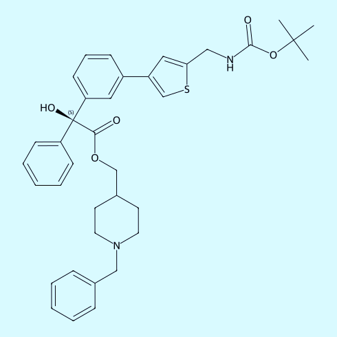 CC(C)(C)OC(=O)NCc1cc(-c2cccc([C@](O)(C(=O)OCC3CCN(Cc4ccccc4)CC3)c3ccccc3)c2)cs1